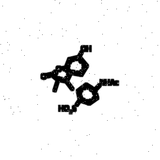 CC(=O)Nc1ccc(S(=O)(=O)O)cc1.Cc1c(C)c2ccc(O)cc2oc1=O